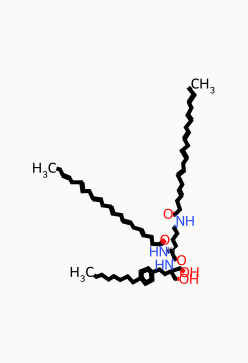 CCC=CCC=CCC=CCC=CCC=CCC=CCCC(=O)NCCCC[C@H](NC(=O)CCC=CCC=CCC=CCC=CCC=CCC=CCC)C(=O)NC(CO)(CO)CCc1ccc(CCCCCCCC)cc1